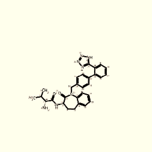 CC(C)[C@@H](N)C(=O)N[C@@H]1CCc2ccccc2N(Cc2ccc(-c3ccccc3-c3nnn[nH]3)cc2)C1=O